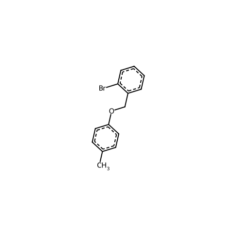 Cc1ccc(OCc2ccccc2Br)cc1